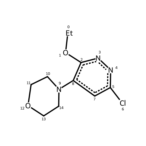 CCOc1nnc(Cl)cc1N1CCOCC1